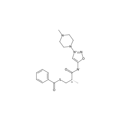 C[C@H](CSC(=O)c1ccccc1)C(=O)[N-]c1c[n+](N2CCN(C)CC2)no1